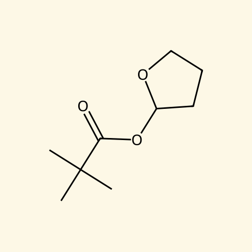 CC(C)(C)C(=O)OC1CCCO1